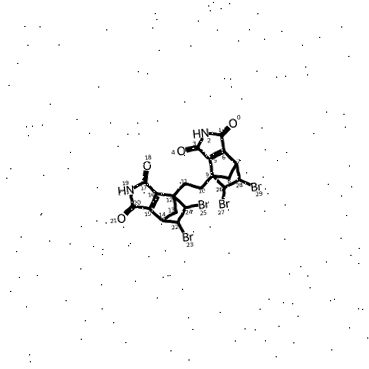 O=C1NC(=O)C2=C1C1CC2(CCC23CC(C4=C2C(=O)NC4=O)C(Br)C3Br)C(Br)C1Br